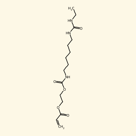 C=CC(=O)OCCOC(=O)NCCCCCCNC(=O)NCC